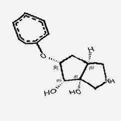 O[C@@H]1[C@H](Oc2ccccc2)C[C@H]2CNC[C@]21O